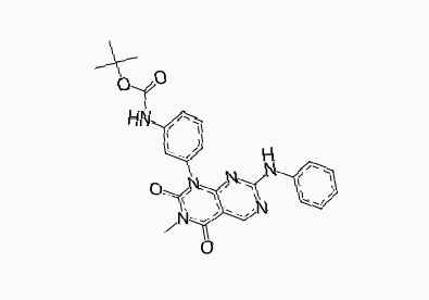 Cn1c(=O)c2cnc(Nc3ccccc3)nc2n(-c2cccc(NC(=O)OC(C)(C)C)c2)c1=O